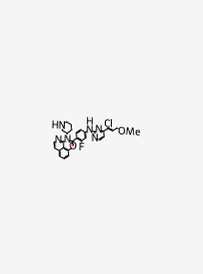 COCC=C(Cl)c1ccnc(Nc2ccc(C(=O)N(c3nccc4cccc(C)c34)[C@@H]3CCCNC3)c(F)c2)n1